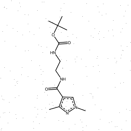 Cc1nn(C)cc1C(=O)NCCNC(=O)OC(C)(C)C